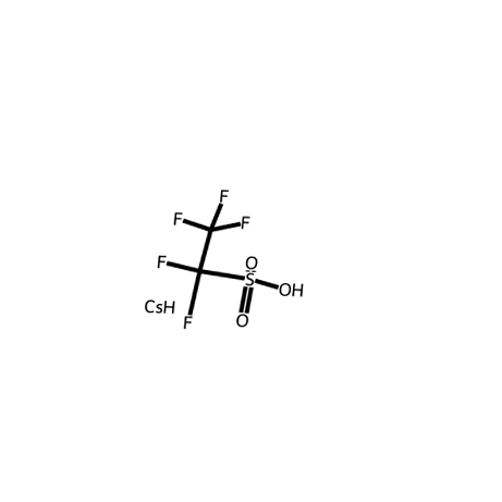 O=S(=O)(O)C(F)(F)C(F)(F)F.[CsH]